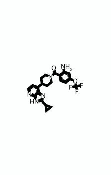 Nc1cc(OC(F)(F)F)ccc1C(=O)N1CCC(c2ccnc3[nH]c(C4CC4)nc23)CC1